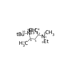 CCN(C)C(C)CC(C)N(C)C(C)(C)C